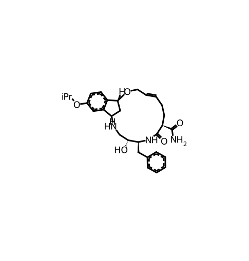 CC(C)Oc1ccc2c(c1)[C@@H]1C[C@H]2OC/C=C/CC[C@@H](C(N)=O)C(=O)N[C@@H](Cc2ccccc2)[C@H](O)CN1